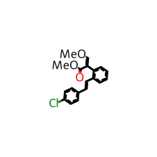 CO/C=C(\C(=O)OC)c1ccccc1/C=C/c1ccc(Cl)cc1